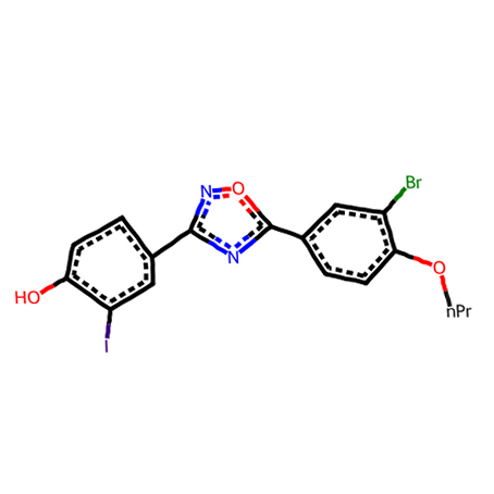 CCCOc1ccc(-c2nc(-c3ccc(O)c(I)c3)no2)cc1Br